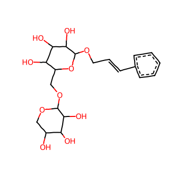 OC1COC(OCC2OC(OCC=Cc3ccccc3)C(O)C(O)C2O)C(O)C1O